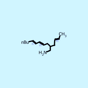 C/C=C/CC(CN)C/C=C/C=C/CCCC